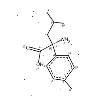 Cc1ccc([C@](N)(CC(C)C)C(=O)O)cc1